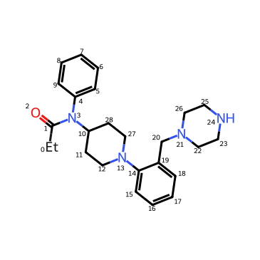 CCC(=O)N(c1ccccc1)C1CCN(c2ccccc2CN2CCNCC2)CC1